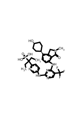 CCC(CC)(c1ccc(Nc2ncc(C(F)(F)F)c(Nc3ccc([C@H]4CC[C@H](O)CC4)c4c3C(=O)N(C)C4)n2)cn1)P(=O)(O)O